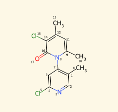 Cc1cnc(Cl)cc1-n1c(C)cc(C)c(Cl)c1=O